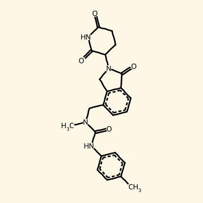 Cc1ccc(NC(=O)N(C)Cc2cccc3c2CN(C2CCC(=O)NC2=O)C3=O)cc1